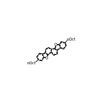 CCCCCCCCc1ccc2c(c1)oc1c2ccc2c1ccc1c3ccc(CCCCCCCC)cc3oc12